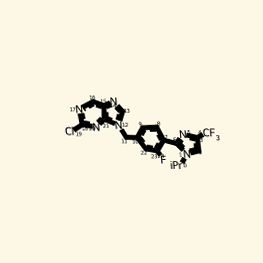 CC(C)n1cc(C(F)(F)F)nc1-c1ccc(Cn2cnc3cnc(Cl)nc32)cc1F